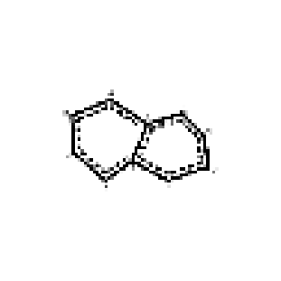 [c]1[c]c2ccccc2[c]c1